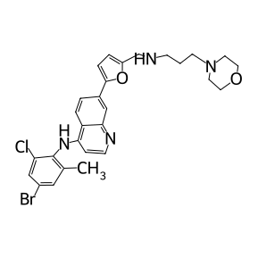 Cc1cc(Br)cc(Cl)c1Nc1ccnc2cc(-c3ccc(CNCCCN4CCOCC4)o3)ccc12